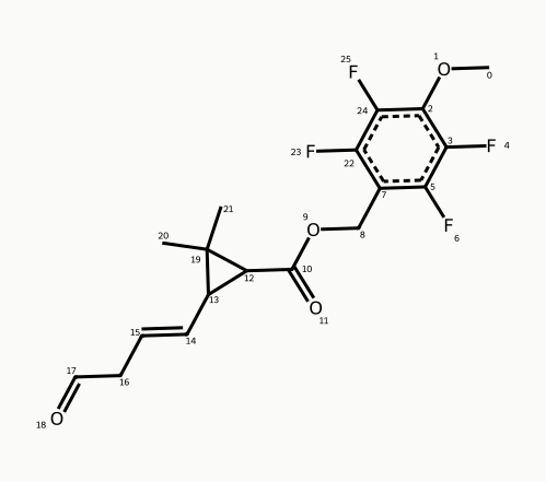 COc1c(F)c(F)c(COC(=O)C2C(C=CCC=O)C2(C)C)c(F)c1F